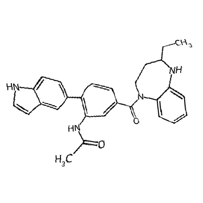 CCC1CCN(C(=O)c2ccc(-c3ccc4[nH]ccc4c3)c(NC(C)=O)c2)c2ccccc2N1